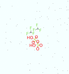 FC(F)F.FC(F)F.O=S(=O)(O)OS(=O)(=O)O